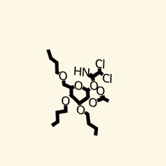 CCCCOCC1OC(OC(=N)C(Cl)Cl)C(OC(C)=O)C(OCCCC)C1OCCCC